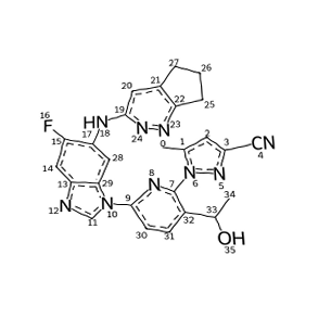 Cc1cc(C#N)nn1-c1nc(-n2cnc3cc(F)c(Nc4cc5c(nn4)CCC5)cc32)ccc1C(C)O